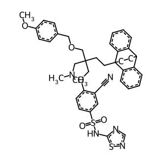 COc1ccc(COCC(CCC23CCC(c4ccccc42)c2ccccc23)(COc2ccc(S(=O)(=O)Nc3ncns3)cc2C#N)CN(C)C)cc1